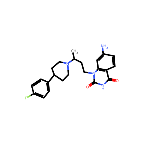 CC(CCn1c(=O)[nH]c(=O)c2ccc(N)cc21)N1CCC(c2ccc(F)cc2)CC1